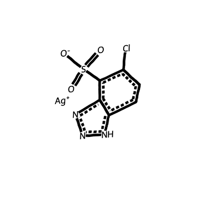 O=S(=O)([O-])c1c(Cl)ccc2[nH]nnc12.[Ag+]